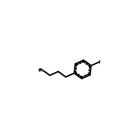 CC(C)CCCc1ccc(I)cc1